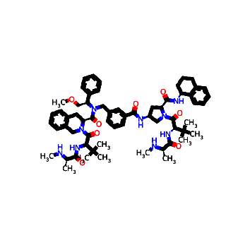 CN[C@@H](C)C(=O)NC(C(=O)N1Cc2ccccc2C[C@H]1C(=O)N(Cc1cccc(C(=O)N[C@H]2C[C@@H](C(=O)N[C@@H]3CCCc4ccccc43)N(C(=O)[C@@H](NC(=O)[C@H](C)NC)C(C)(C)C)C2)c1)[C@@H](COC)c1ccccc1)C(C)(C)C